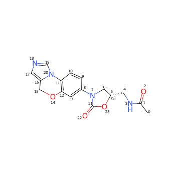 CC(=O)NC[C@H]1CN(c2ccc3c(c2)OCc2cncn2-3)C(=O)O1